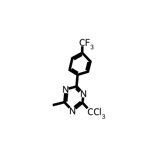 Cc1nc(-c2ccc(C(F)(F)F)cc2)nc(C(Cl)(Cl)Cl)n1